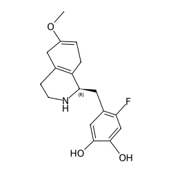 COC1=CCC2=C(CCN[C@@H]2Cc2cc(O)c(O)cc2F)C1